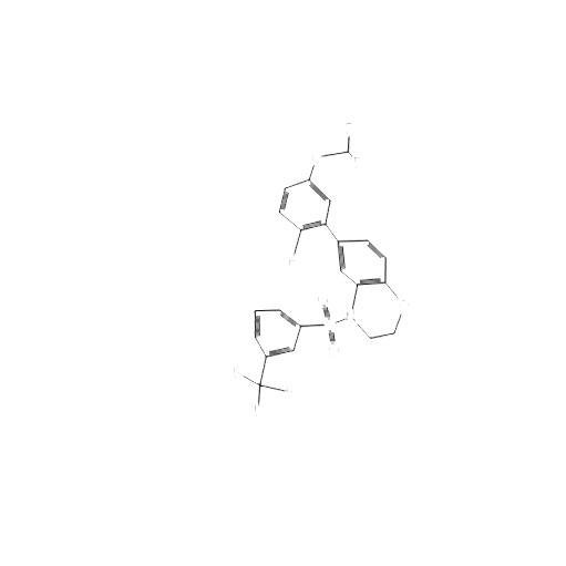 O=S(=O)(c1cccc(C(F)(F)F)c1)N1CCOc2ccc(-c3cc(OC(F)F)ccc3F)cc21